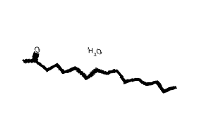 CCCCCCCCCCCCCCC(C)=O.O